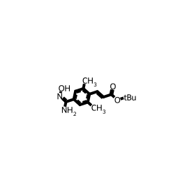 Cc1cc(/C(N)=N\O)cc(C)c1/C=C/C(=O)OC(C)(C)C